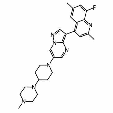 Cc1cc(F)c2nc(C)cc(-c3cnn4cc(N5CCC(N6CCN(C)CC6)CC5)cnc34)c2c1